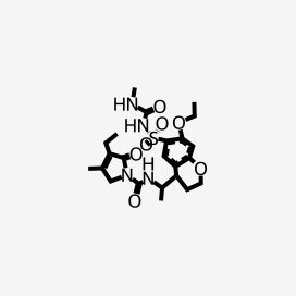 CCOc1cc2c(cc1S(=O)(=O)NC(=O)NC)C(C(C)NC(=O)N1CC(C)=C(CC)C1=O)CCO2